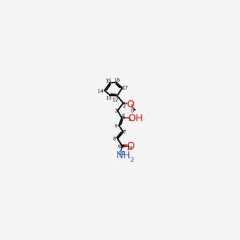 COC(CC(O)=CC=CC(N)=O)c1ccccc1